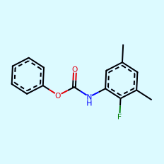 Cc1cc(C)c(F)c(NC(=O)Oc2ccccc2)c1